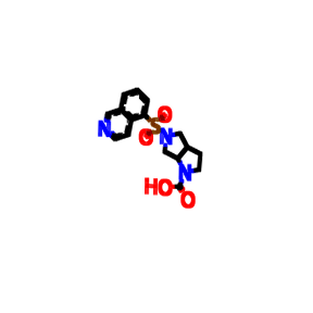 O=C(O)N1CCC2CN(S(=O)(=O)c3cccc4cnccc34)CC21